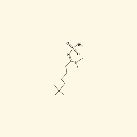 CN(C)/C(CCCCC(C)(C)C)=N\S(N)(=O)=O